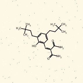 CC(C)(C)CCc1cc(C=C(C(N)=O)C(N)=O)c(O)c(CCC(C)(C)C)c1